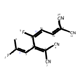 C/C(F)=C\C(=C(C#N)C#N)/C(F)=C\C=C(C#N)C#N